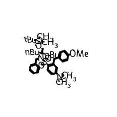 CCCCC(CCCC)(CO[Si](C)(C)C(C)(C)C)N(Cc1ccccc1)S(=O)(=O)c1ccc(N(C)C)cc1Cc1ccc(OC)cc1